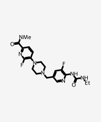 CCNC(=O)Nc1ncc(CN2CCN(c3ccc(C(=O)NC)nc3F)CC2)cc1F